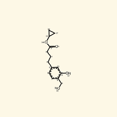 O=C(CCCc1ccc(CO)c(O)c1)OC1CC1